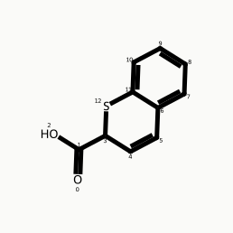 O=C(O)C1C=Cc2ccccc2S1